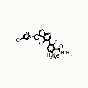 CN(C)C(=O)c1c(N)ccc(-c2cnc3c(c2Cl)[C@@]2(CC[C@H](n4cc(Cl)cn4)C2)CN3)c1F